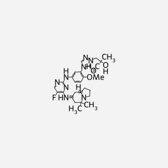 COc1ccc(Nc2ncc(F)c(N[C@@H]3C[C@@H]4CCCN4C(C)(C)C3)n2)cc1-n1cnn(CC(C)(C)O)c1=O